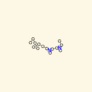 C1=CC(c2cccc(C3(c4ccc(-c5ccccc5-c5ccccc5)cc4)c4ccccc4-c4ccccc43)c2)CC=C1c1ccc(-n2c3ccccc3c3cc(-c4ccc5c(c4)c4ccccc4n5-c4cccc(-c5ccccc5)c4)ccc32)cc1